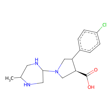 CC1CNC(N2CC(c3ccc(Cl)cc3)[C@@H](C(=O)O)C2)CN1